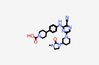 CN1CCN([C@@H]2CCCN(c3cnc(C#N)c(Nc4ccc(C5CCN(C(=O)O)CC5)cc4)n3)C2)C1=O